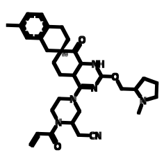 C=CC(=O)N1CCN(C2=NC(OCC3CCCN3C)NC3C(=O)[C@]4(CCc5ccc(C)cc5C4)CCC23)CC1CC#N